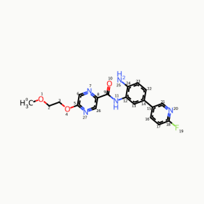 COCCOc1cnc(C(=O)Nc2cc(-c3ccc(F)nc3)ccc2N)cn1